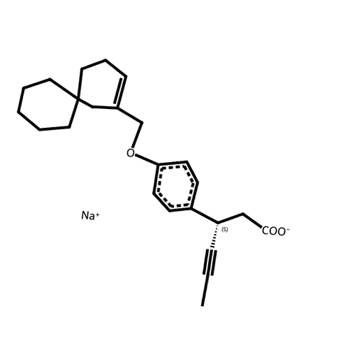 CC#C[C@@H](CC(=O)[O-])c1ccc(OCC2=CCCC3(CCCCC3)C2)cc1.[Na+]